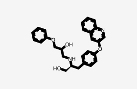 OC[C@H](Cc1ccc(Oc2cnc3ccccc3c2)cc1)NCC(O)COc1ccccc1